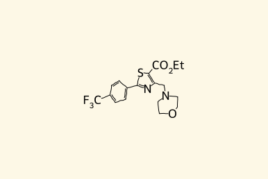 CCOC(=O)c1sc(-c2ccc(C(F)(F)F)cc2)nc1CN1CCOCC1